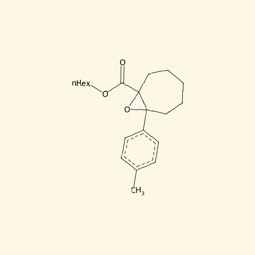 CCCCCCOC(=O)C12CCCCCC1(c1ccc(C)cc1)O2